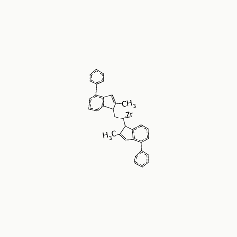 CC1=Cc2c(-c3ccccc3)cccc2C1C[CH]([Zr])C1C(C)=Cc2c(-c3ccccc3)cccc21